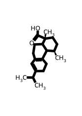 CC(C)C1=CC2=C(CC1)C1C(CC2)[C@](C)(C(=O)O)CC[C@H]1C